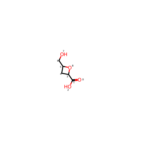 O=C(O)C1CC(CO)O1